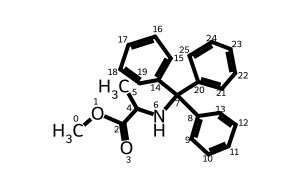 COC(=O)C(C)NC(c1ccccc1)(c1ccccc1)c1ccccc1